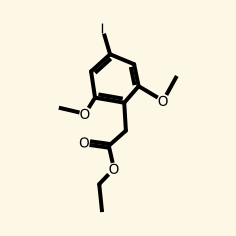 CCOC(=O)Cc1c(OC)cc(I)cc1OC